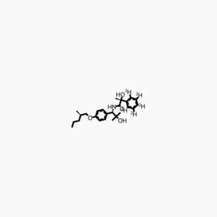 [2H]c1c([2H])c([2H])c([C@@](C)(O)C(=O)N[C@H](c2ccc(OC[C@H](C)CCC)cc2)C(C)(C)O)c([2H])c1[2H]